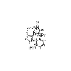 Cc1ccn(-c2c(C(C)C)cccc2C(C)C)c1N1C=CN(C)[C@@H]1C